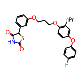 CCCc1cc(Oc2ccc(F)cc2)ccc1OCCCOc1cccc(C2SC(=O)NC2=O)c1